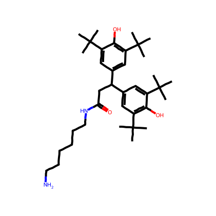 CC(C)(C)c1cc(C(CC(=O)NCCCCCCN)c2cc(C(C)(C)C)c(O)c(C(C)(C)C)c2)cc(C(C)(C)C)c1O